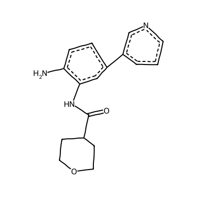 Nc1ccc(-c2cccnc2)cc1NC(=O)C1CCOCC1